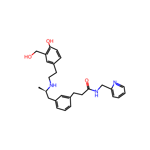 C[C@H](Cc1cccc(CCC(=O)NCc2ccccn2)c1)NCCc1ccc(O)c(CO)c1